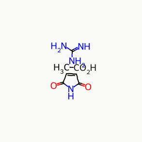 CC(=O)O.N=C(N)N.O=C1C=CC(=O)N1